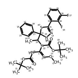 CO/N=C(/NC(=O)OC(C)(C)C)N(C(=O)OC(C)(C)C)C(C)C1(c2ccccc2)NN=C(c2cccc(F)c2F)S1